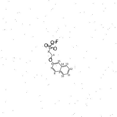 O=S(=O)(CCOc1ccc2ccccc2c1)OF